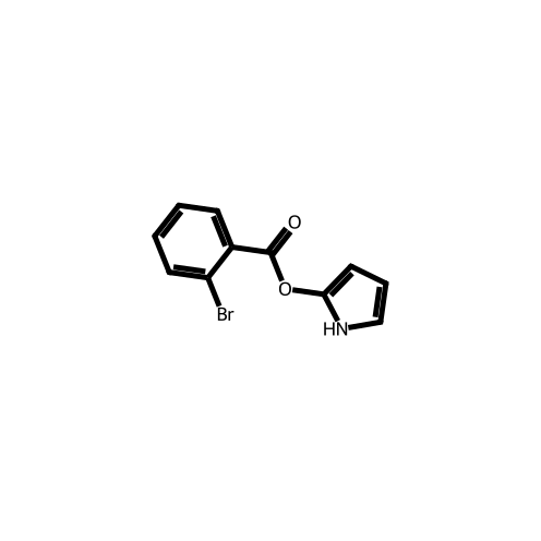 O=C(Oc1ccc[nH]1)c1ccccc1Br